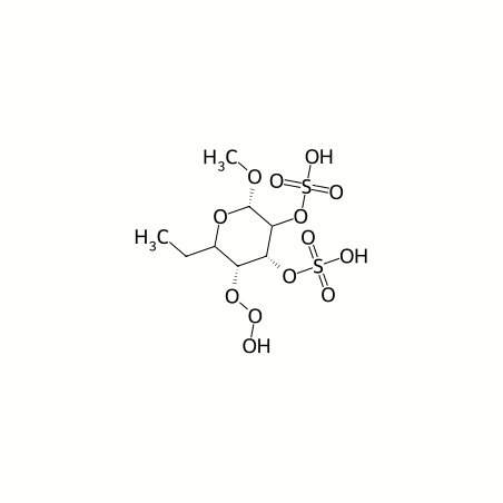 CCC1O[C@H](OC)C(OS(=O)(=O)O)[C@H](OS(=O)(=O)O)[C@@H]1OOO